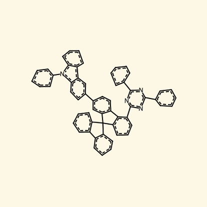 c1ccc(-c2nc(-c3ccccc3)nc(-c3cccc4c3-c3ccc(-c5ccc6c(c5)c5ccccc5n6-c5ccccc5)cc3C43c4ccccc4-c4ccccc43)n2)cc1